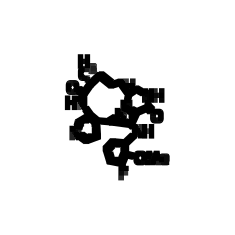 COc1c(F)cccc1Nc1c2nn3c1C(=O)NC[C@H]3C/C=C/[C@@H](C)C(=O)Nc1cnccc1-2